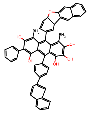 Bc1c(O)c(O)c(O)c2c(-c3ccc(-c4ccc5ccccc5c4)cc3)c3c(O)c(-c4ccccc4)c(O)c(B)c3c(C3=CC4c5cc6ccccc6cc5OC4C=C3)c12